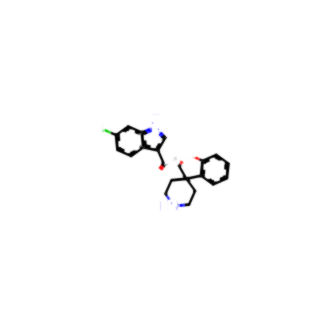 O=C(c1c[nH]c2cc(Cl)ccc12)[C@@H]1Oc2ccccc2C12CCNCC2